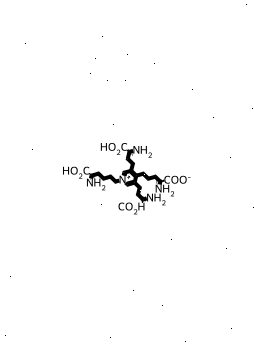 N[C@@H](CCCc1c(CC[C@H](N)C(=O)O)c[n+](CCCC[C@H](N)C(=O)O)cc1CC[C@H](N)C(=O)O)C(=O)[O-]